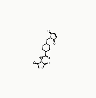 O=C(NN1C(=O)CCC1=O)C1[CH]CC(CN2C(=O)C=CC2=O)CC1